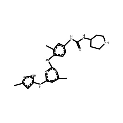 Cc1cc(Nc2cc(C)nc(Nc3ccc(NC(=O)NC4CCNCC4)cc3C)n2)[nH]n1